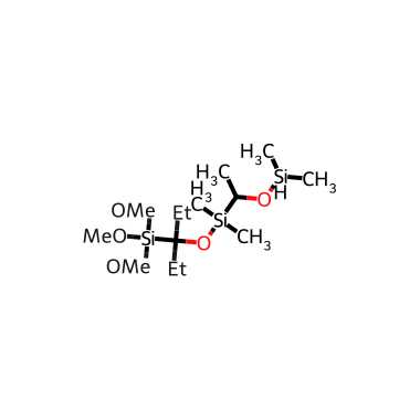 CCC(CC)(O[Si](C)(C)C(C)O[SiH](C)C)[Si](OC)(OC)OC